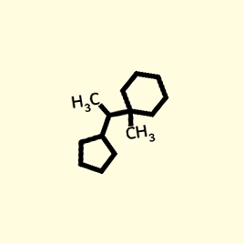 C[C](C1CCCC1)C1(C)CCCCC1